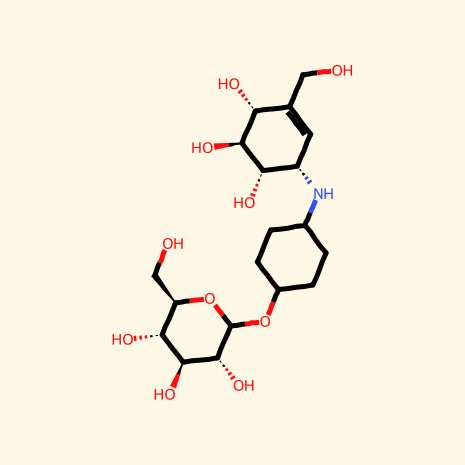 OCC1=C[C@H](NC2CCC(OC3O[C@H](CO)[C@@H](O)[C@H](O)[C@H]3O)CC2)[C@H](O)[C@@H](O)[C@@H]1O